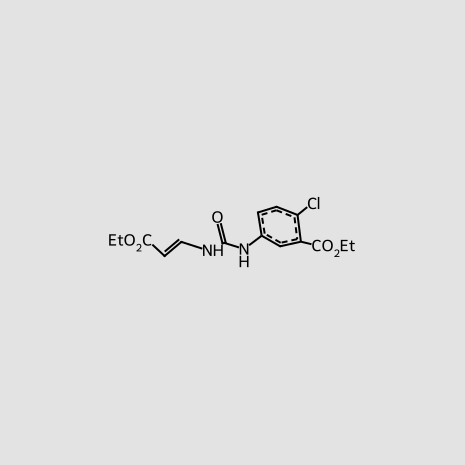 CCOC(=O)C=CNC(=O)Nc1ccc(Cl)c(C(=O)OCC)c1